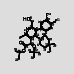 Cc1nc(CO)c(-c2ccc(F)c(F)c2)c(N2CCC(C)(C)CC2)c1C(OC(C)(C)C)C(=O)OC(C)C